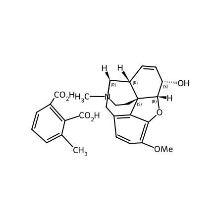 COc1ccc2c3c1O[C@H]1[C@@H](O)C=C[C@H]4[C@@H](C2)N(C)CC[C@@]341.Cc1cccc(C(=O)O)c1C(=O)O